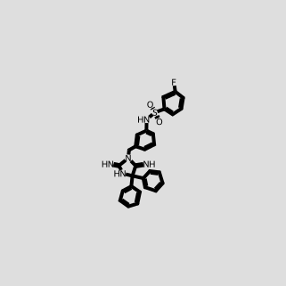 N=C1NC(c2ccccc2)(c2ccccc2)C(=N)N1Cc1cccc(NS(=O)(=O)c2cccc(F)c2)c1